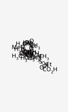 CC[C@H]1OC(=O)[C@H](C)[C@@H](O[C@H]2CC(C)(C)[C@@H](OCCCN(C)CCSc3ccc4c(c3)c(=O)c(C(=O)O)cn4CC)[C@H](C)O2)[C@H](C)[C@@H](O[C@@H]2O[C@H](C)C[C@H](N(C)C)[C@H]2O)[C@](C)(OC)C[C@@H](C)C(=O)[C@H]2NC(=O)O[C@@]21C